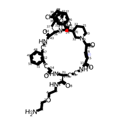 NCCOCCNC(=O)[C@@H]1CCNC(=O)/C=C/C(=O)N2CCC[C@@](Cc3cccc(Cl)c3)(C2)C(=O)N[C@@H](Cc2ccco2)C(=O)NCc2ccccc2CC(=O)N1